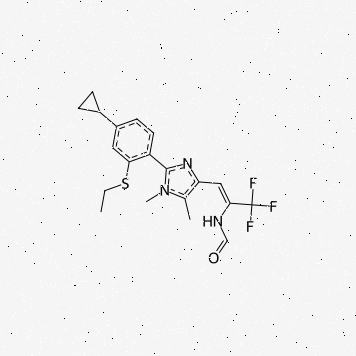 CCSc1cc(C2CC2)ccc1-c1nc(/C=C(\NC=O)C(F)(F)F)c(C)n1C